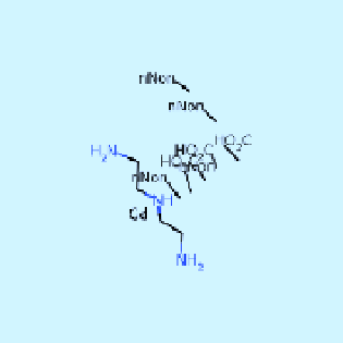 CC(=O)O.CC(=O)O.CC(=O)O.CCCCCCCCCC.CCCCCCCCCC.CCCCCCCCCC.CCCCCCCCCC.NCCNCCN.[Gd]